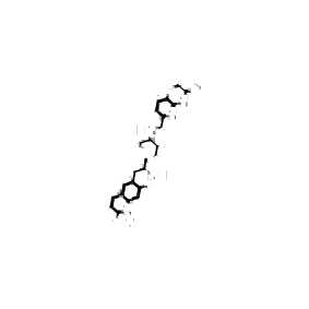 COc1ccc2cc(C[C@@H](N)[C@@H]3CC[C@@H](NCc4ccc5c(n4)NC(=O)CS5)CO3)c(F)cc2n1